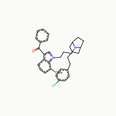 COc1cccc2c(C(=O)c3ccccc3)cn(CCCN3C4CCC3CC(CCc3ccc(Cl)cc3)C4)c12